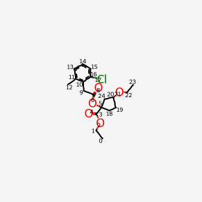 CCOC(=O)C1(OC(=O)Cc2c(C)cccc2Cl)CCC(OCC)C1